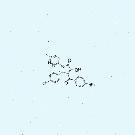 Cc1ccc(N2C(=O)C(O)=C(C(=O)c3ccc(C(C)C)cc3)C2c2ccc(Cl)cc2)nn1